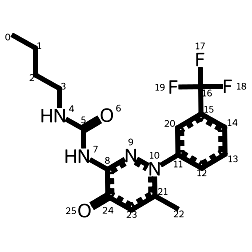 CCCCNC(=O)Nc1nn(-c2cccc(C(F)(F)F)c2)c(C)cc1=O